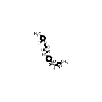 Cc1ccc(OCC(=O)NC(=S)Nc2ccc(S(=O)(=O)Nc3cc(C)on3)cc2)c(Cl)c1